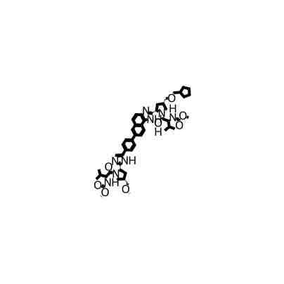 COC[C@H]1C[C@@H](c2ncc(-c3ccc(-c4ccc5c(ccc6nc([C@@H]7C[C@H](COCC8CCCC8)CN7C(O)[C@@H](NC(=O)OC)C(C)C)[nH]c65)c4)cc3)[nH]2)N(C(=O)[C@@H](NC(=O)OC)C(C)C)C1